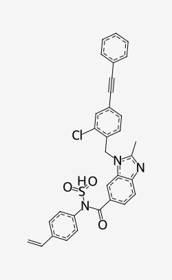 C=Cc1ccc(N(C(=O)c2ccc3nc(C)n(Cc4ccc(C#Cc5ccccc5)cc4Cl)c3c2)[SH](=O)=O)cc1